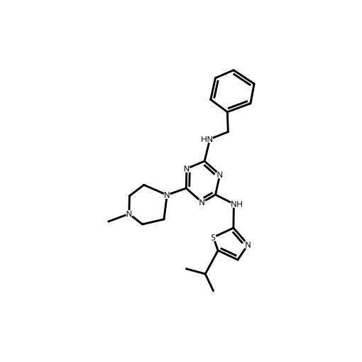 CC(C)c1cnc(Nc2nc(NCc3ccccc3)nc(N3CCN(C)CC3)n2)s1